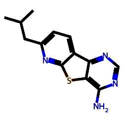 CC(C)Cc1ccc2c(n1)sc1c(N)ncnc12